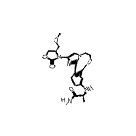 COC[C@@H]1COC(=O)N1c1cn2c(n1)-c1ccc(N[C@@H](C)C(N)=O)cc1OCC2